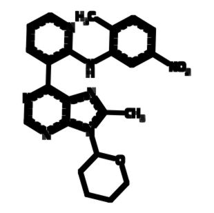 Cc1ccc([N+](=O)[O-])cc1Nc1ncccc1-c1ncnc2c1nc(C)n2C1CCCCO1